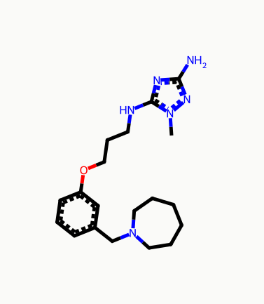 Cn1nc(N)nc1NCCCOc1cccc(CN2CCCCCC2)c1